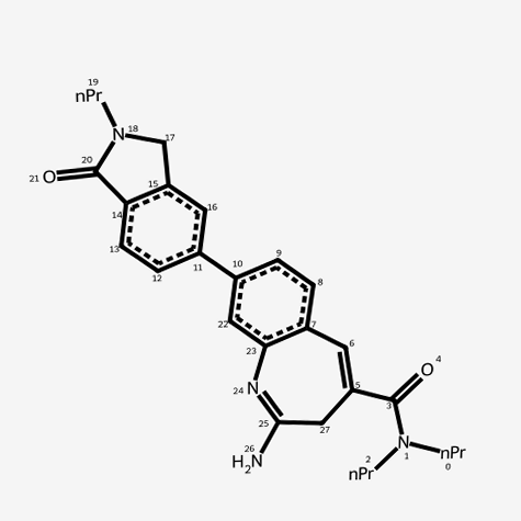 CCCN(CCC)C(=O)C1=Cc2ccc(-c3ccc4c(c3)CN(CCC)C4=O)cc2N=C(N)C1